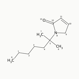 CCCCCC(C)(C)N1CC=CC1=O